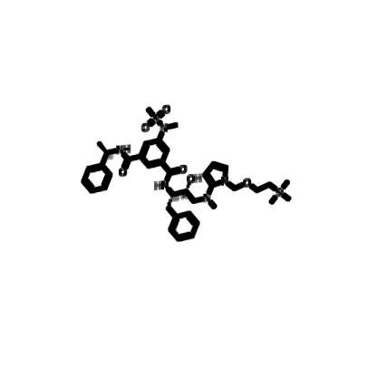 C[C@@H](NC(=O)c1cc(C(=O)N[C@@H](Cc2ccccc2)[C@H](O)CN(C)c2cccn2COCC[Si](C)(C)C)cc(N(C)S(C)(=O)=O)c1)c1ccccc1